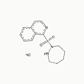 Cl.O=S(=O)(c1nccc2ccccc12)N1CCCCCN1